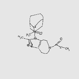 COC(=O)N1CCc2nc(C)n(C3CC4CCC(C3)N4C(C)=O)c2C1